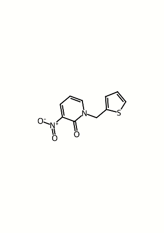 O=c1c([N+](=O)[O-])cccn1Cc1cccs1